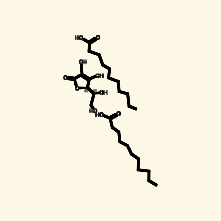 CCCCCCCCCCC(=O)O.CCCCCCCCCCC(=O)O.O=C1O[C@H]([C@@H](O)CO)C(O)=C1O